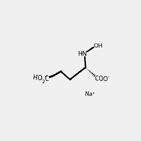 O=C(O)CC[C@H](NO)C(=O)[O-].[Na+]